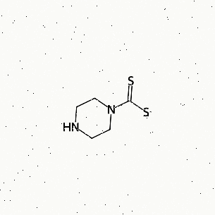 [S]C(=S)N1CCNCC1